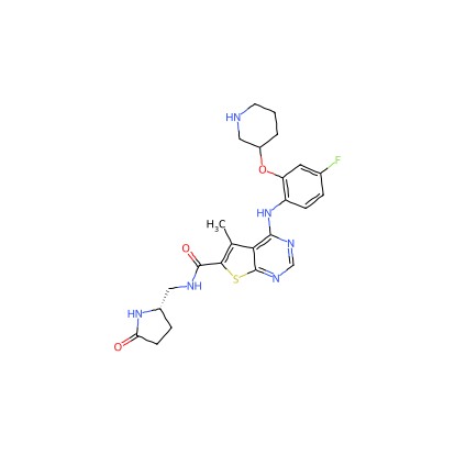 Cc1c(C(=O)NC[C@@H]2CCC(=O)N2)sc2ncnc(Nc3ccc(F)cc3OC3CCCNC3)c12